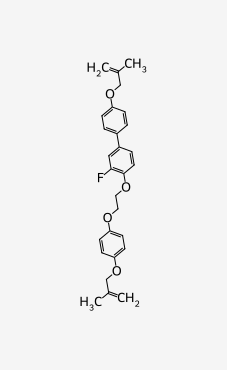 C=C(C)COc1ccc(OCCOc2ccc(-c3ccc(OCC(=C)C)cc3)cc2F)cc1